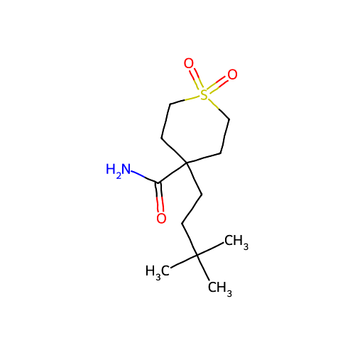 CC(C)(C)CCC1(C(N)=O)CCS(=O)(=O)CC1